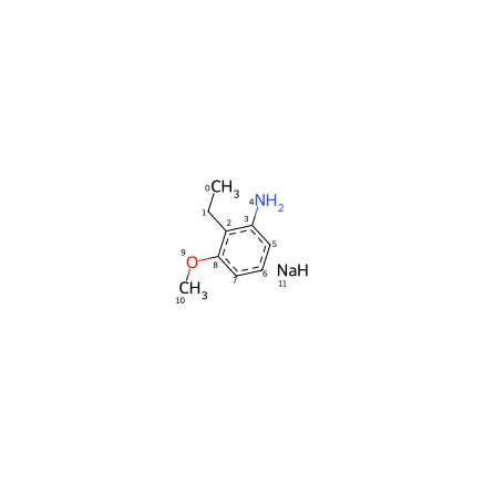 CCc1c(N)cccc1OC.[NaH]